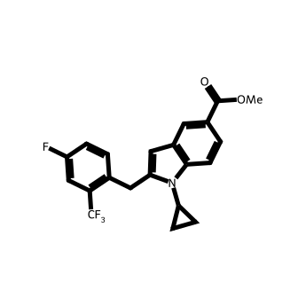 COC(=O)c1ccc2c(c1)cc(Cc1ccc(F)cc1C(F)(F)F)n2C1CC1